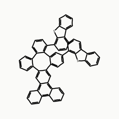 c1ccc2c(c1)-c1cc3c4ccccc4c4ccccc4c3cc1-c1ccc(-c3cccc4c3sc3ccccc34)cc1-c1c-2cccc1-c1cccc2c1sc1ccccc12